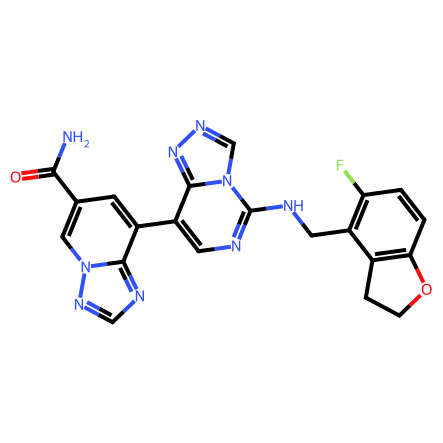 NC(=O)c1cc(-c2cnc(NCc3c(F)ccc4c3CCO4)n3cnnc23)c2ncnn2c1